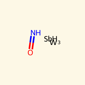 N=O.[SbH3].[W]